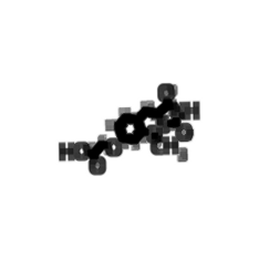 COc1cc(OCC(=O)O)ccc1C=C1SC(=O)NC1=O